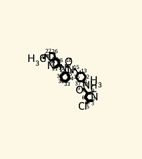 Cc1ncc(Cl)cc1C(=O)N[C@H]1CC[C@H](Cn2c(=O)n(-c3cnc4c(c3)CCN4C)c3ccccc32)CC1